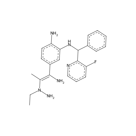 CCN(N)/C(C)=C(\N)c1ccc(N)c(NC(c2ccccc2)c2ncccc2F)c1